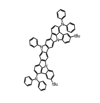 CC(C)(C)c1ccc2c(c1)c1c(N(c3ccccc3)c3ccccc3)ccc3c4cc5c(cc4n2c31)c1cc2c(cc1n5-c1ccccc1)c1ccc(N(c3ccccc3)c3ccccc3)c3c4cc(C(C)(C)C)ccc4n2c13